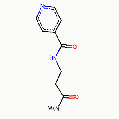 CNC(=O)CCNC(=O)c1ccncc1